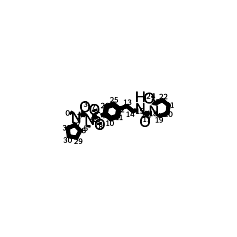 CN(C(=O)N(C)S(=O)(=O)c1ccc(CCNC(=O)N2CCCCC2=O)cc1)C1CCCC1